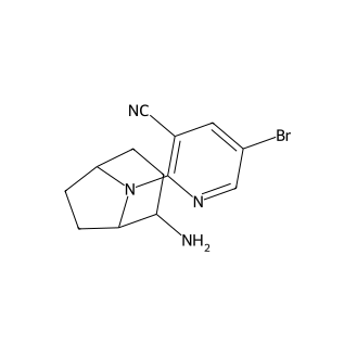 N#Cc1cc(Br)cnc1N1C2CCC(N)C1CC2